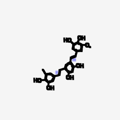 COc1cc(/C=C/c2cc(/C=C/c3cc(C)c(O)c(O)c3)c(O)cc2O)cc(O)c1O